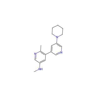 CNc1cnc(C)c(-c2cncc(N3CCCCC3)c2)c1